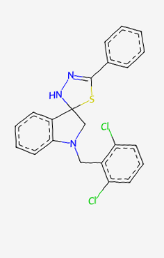 Clc1cccc(Cl)c1CN1CC2(NN=C(c3ccccc3)S2)c2ccccc21